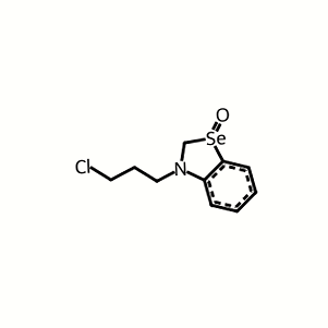 O=[Se]1CN(CCCCl)c2ccccc21